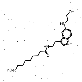 CCCCCCCCCCCCCCCCCC(=O)NCCc1c[nH]c2ccc(NCCO)cc12